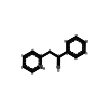 O=C(Cc1ccccn1)c1ccccc1